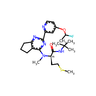 CSCC[C@H](C(=O)NC(C)(C)C)N(C)c1nc(-c2cc(OC(C)F)ccn2)nc2c1CCC2